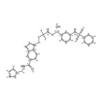 CC(C)(CCn1cnc2cc(C(=O)NCc3cncs3)ccc21)NC[C@H](O)c1cccc(NS(=O)(=O)c2ccccc2)c1